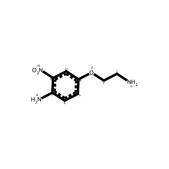 NCCOc1ccc(N)c([N+](=O)[O-])c1